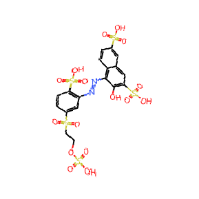 O=S(=O)(O)OCCS(=O)(=O)c1ccc(S(=O)(=O)O)c(N=Nc2c(O)c(S(=O)(=O)O)cc3cc(S(=O)(=O)O)ccc23)c1